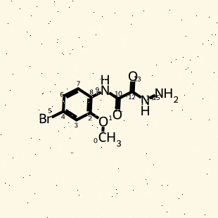 COc1cc(Br)ccc1NC(=O)C(=O)NN